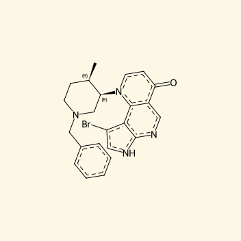 C[C@@H]1CCN(Cc2ccccc2)C[C@@H]1n1ccc(=O)c2cnc3[nH]cc(Br)c3c21